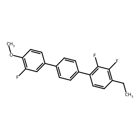 CCc1ccc(-c2ccc(-c3ccc(OC)c(F)c3)cc2)c(F)c1F